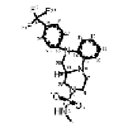 CNS(=O)(=O)N1CCN2c3ccccc3N(c3ccc(C(F)(F)F)cc3)C[C@H]2C1